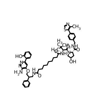 Cc1ncsc1-c1ccc(CNC(=O)[C@@H]2C[C@@H](O)CN2C(=O)[C@@H](NC(=O)CCCCCCCCC(=O)NCC(COc2cc(-c3ccccc3O)nnc2N)c2ccccc2)C(C)(C)C)cc1